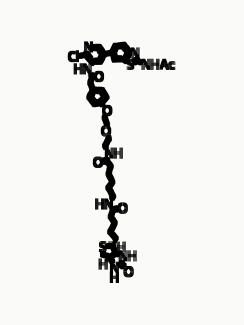 CC(=O)Nc1nc2ccc(-c3cnc(Cl)c(NC(=O)Cc4ccc(OCCOCCNC(=O)CCCCCNC(=O)CCCC[C@@H]5SC[C@@H]6NC(=O)N[C@@H]65)cc4)c3)cc2s1